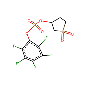 O=S1(=O)CCC(OS(=O)(=O)Oc2c(F)c(F)c(F)c(F)c2F)C1